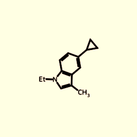 CCn1cc(C)c2cc(C3CC3)ccc21